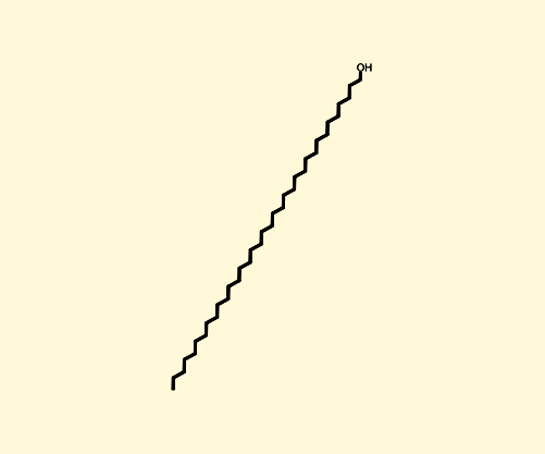 CCCCCCCCCCCCCCCCCCCCCCCCCCCCCCCCCCCO